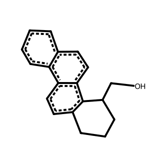 OCC1CCCc2ccc3c(ccc4ccccc43)c21